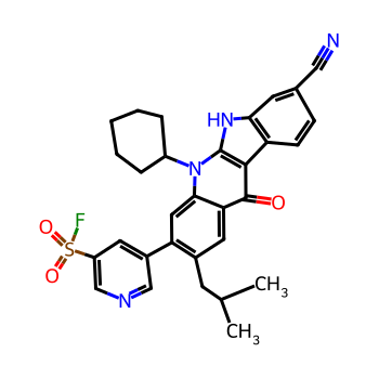 CC(C)Cc1cc2c(=O)c3c4ccc(C#N)cc4[nH]c3n(C3CCCCC3)c2cc1-c1cncc(S(=O)(=O)F)c1